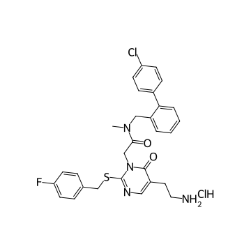 CN(Cc1ccccc1-c1ccc(Cl)cc1)C(=O)Cn1c(SCc2ccc(F)cc2)ncc(CCN)c1=O.Cl